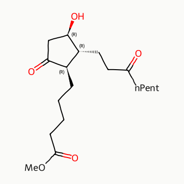 CCCCCC(=O)CC[C@H]1[C@H](O)CC(=O)[C@@H]1CCCCC(=O)OC